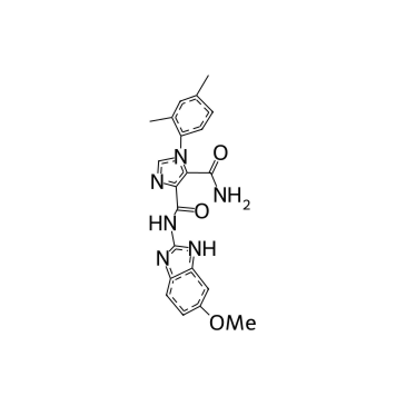 COc1ccc2nc(NC(=O)c3ncn(-c4ccc(C)cc4C)c3C(N)=O)[nH]c2c1